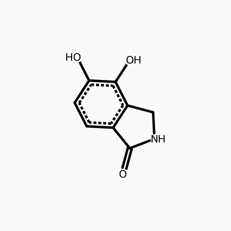 O=C1NCc2c1ccc(O)c2O